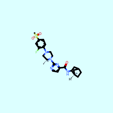 C[C@@H]1CN(c2ccc(S(C)(=O)=O)cc2F)CCN1c1nccc(C(=O)NC2CC3CC[C@@H]2C3)n1